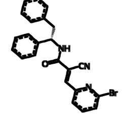 N#C/C(=C\c1cccc(Br)n1)C(=O)N[C@@H](Cc1ccccc1)c1ccccc1